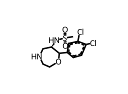 CS(=O)(=O)N[C@@H]1CNCCOC1c1ccc(Cl)c(Cl)c1